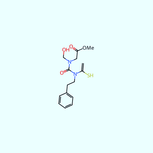 C=C(S)N(CCc1ccccc1)C(=O)N(CO)CC(=O)OC